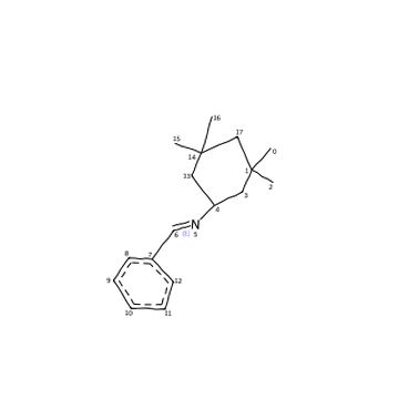 CC1(C)CC(/N=C/c2ccccc2)CC(C)(C)C1